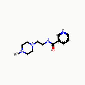 CC(C)N1CCN(CCNC(=O)c2cccnc2)CC1